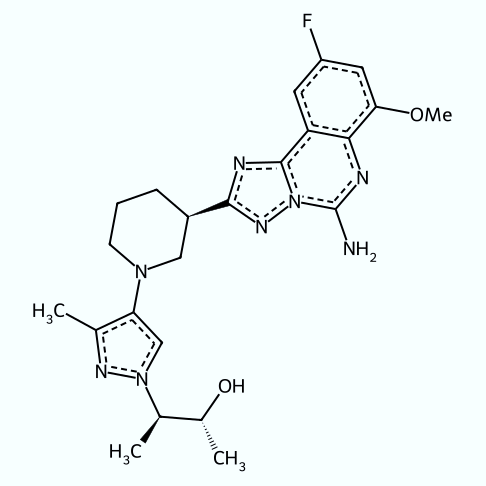 COc1cc(F)cc2c1nc(N)n1nc([C@@H]3CCCN(c4cn([C@H](C)[C@@H](C)O)nc4C)C3)nc21